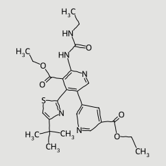 CCNC(=O)Nc1ncc(-c2cncc(C(=O)OCC)c2)c(-c2nc(C(C)(C)C)cs2)c1C(=O)OCC